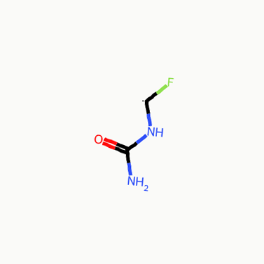 NC(=O)N[CH]F